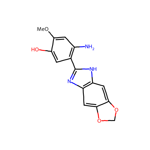 COc1cc(N)c(-c2nc3cc4c(cc3[nH]2)OCO4)cc1O